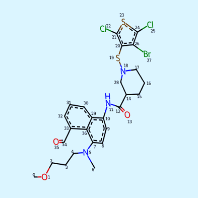 COCCCN(C)c1ccc(NC(=O)C2CCCN(Sc3c(Cl)sc(Cl)c3Br)C2)c2cccc(C=O)c12